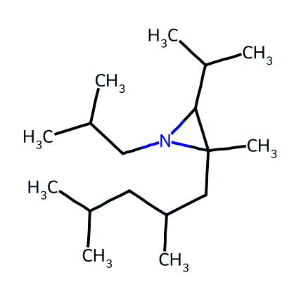 CC(C)CC(C)CC1(C)C(C(C)C)N1CC(C)C